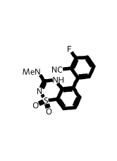 CNC1=NS(=O)(=O)c2cccc(-c3cccc(F)c3C#N)c2N1